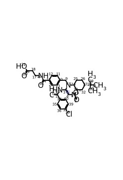 CC(N/C(=C/[N+](=O)[O-])N(Cc1ccc(C(=O)NCCC(=O)O)cc1)[C@H]1CC[C@H](C(C)(C)C)CC1)c1ccc(Cl)cc1